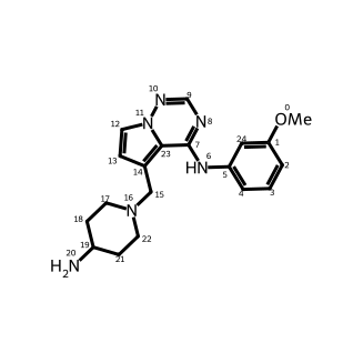 COc1cccc(Nc2ncnn3ccc(CN4CCC(N)CC4)c23)c1